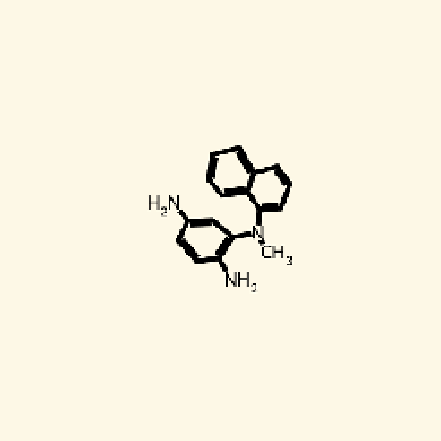 CN(c1cc(N)ccc1N)c1cccc2ccccc12